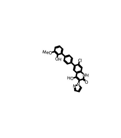 COc1cccc(-c2ccc(-c3cc4c(O)c(-n5cccn5)c(=O)[nH]c4cc3Cl)cc2)c1O